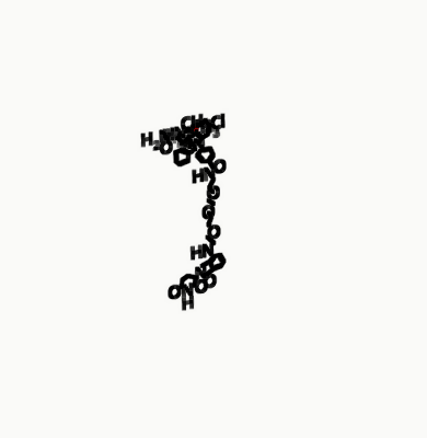 CC1(C)N[C@@H](C(N)=O)[C@H](c2ccccc2)[C@]12C(=O)N(c1ccc(C(=O)NCCOCCOCCOCCNc3cccc4c3CN(C3CCC(=O)NC3=O)C4=O)cc1)c1cc(Cl)ccc12